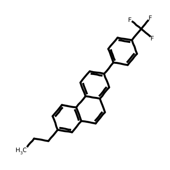 CCCc1ccc2c(ccc3cc(-c4ccc(C(F)(F)F)cc4)ccc32)c1